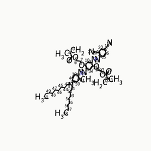 C=C(C)C(=O)OCCOc1cc(/N=N/c2ccc(C#N)cc2C#N)c(OCCOC(=O)C(=C)C)cc1/N=N/c1ccc(N(CCCCCCCC)CCCCCCCC)cc1C